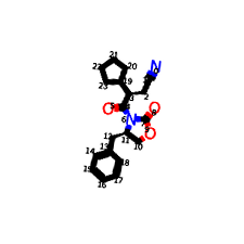 N#CC[C@@H](C(=O)N1C(=O)OC[C@H]1Cc1ccccc1)C1CCCC1